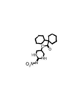 O=C(OC1CNC(=N[N+](=O)[O-])NC1)C1(C2CCCCC2)CCCCC1